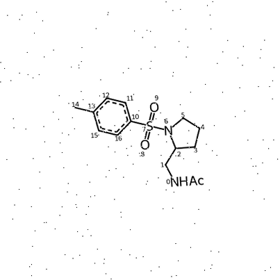 CC(=O)NCC1CCCN1S(=O)(=O)c1ccc(C)cc1